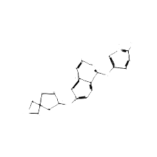 Clc1ccc(Nc2nccc3cc(OC4CCC5(COC5)C4)ccc23)cn1